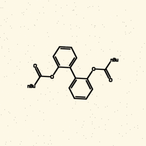 CCCCC(=O)Oc1ccccc1-c1ccccc1OC(=O)CCCC